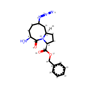 [N-]=[N+]=NC1CC[C@H](N)C(=O)N2[C@H](CC[C@H]2C(=O)OCc2ccccc2)C1